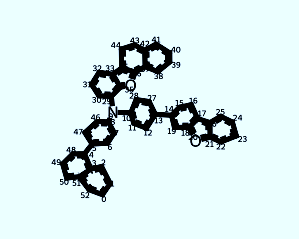 c1ccc2c(-c3ccc(N(c4ccc(-c5ccc6c(c5)oc5ccccc56)cc4)c4cccc5c4oc4c6ccccc6ccc54)cc3)cccc2c1